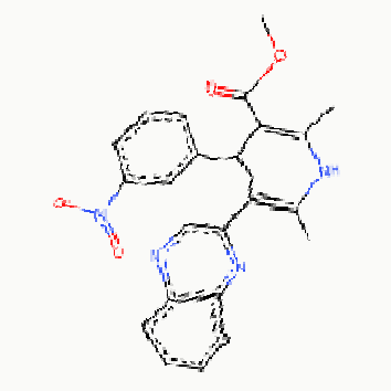 COC(=O)C1=C(C)NC(C)=C(c2cnc3ccccc3n2)C1c1cccc([N+](=O)[O-])c1